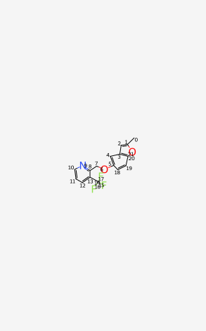 Cc1cc2cc(OCc3ncccc3C(F)(F)F)ccc2o1